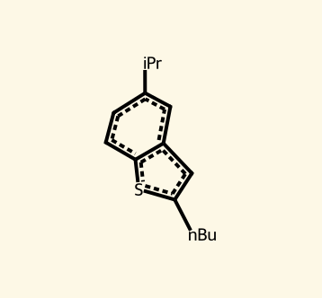 CCCCc1cc2cc(C(C)C)ccc2s1